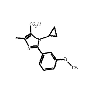 Cc1nc(-c2cccc(OC(F)(F)F)c2)n(C2CC2)c1C(=O)O